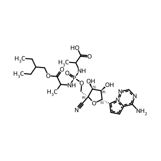 CCC(CC)COC(=O)C(C)NP(=O)(NC(C)C(=O)O)OC[C@@]1(C#N)O[C@@H](c2ccc3c(N)ncnn23)[C@H](O)[C@@H]1O